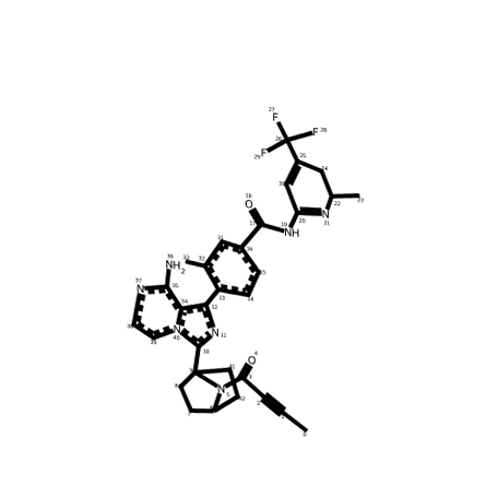 CC#CC(=O)N1C2CCC1(c1nc(-c3ccc(C(=O)NC4=NC(C)CC(C(F)(F)F)=C4)cc3C)c3c(N)nccn13)CC2